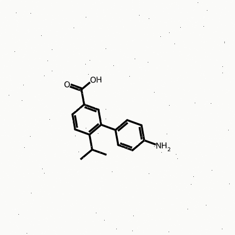 CC(C)c1ccc(C(=O)O)cc1-c1ccc(N)cc1